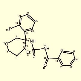 CC[C@@H]1CCOC[C@@]1(NC(=S)NC(=O)c1ccccc1)c1ccccc1F